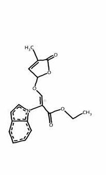 CCOC(=O)/C(=C/OC1C=C(C)C(=O)O1)n1ccc2ccccc21